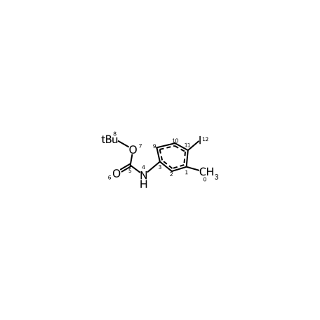 Cc1cc(NC(=O)OC(C)(C)C)ccc1I